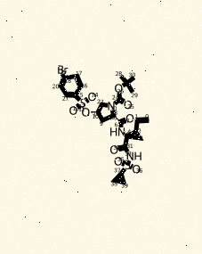 C=CC1C[C@]1(NC(=O)[C@@H]1C[C@H](OS(=O)(=O)c2ccc(Br)cc2)CN1C(=O)OC(C)(C)C)C(=O)NS(=O)(=O)C1CC1